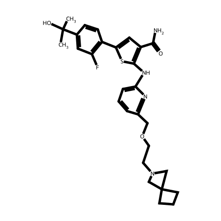 CC(C)(O)c1ccc(-c2cc(C(N)=O)c(Nc3cccc(COCCN4CC5(CCC5)C4)n3)s2)c(F)c1